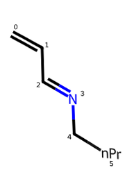 C=CC=NCCCC